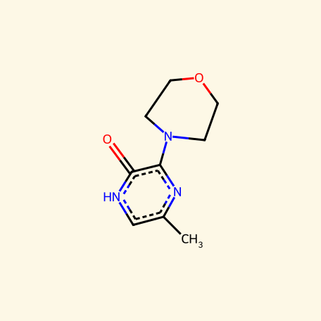 Cc1c[nH]c(=O)c(N2CCOCC2)n1